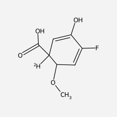 [2H]C1(C(=O)O)C=C(O)C(F)=CC1OC